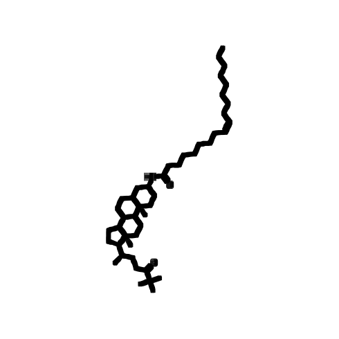 CCCCCCCC/C=C\CCCCCCCC(=O)N[C@H]1CC[C@@]2(C)C(CCC3C2CC[C@@]2(C)C3CC[C@@H]2[C@H](C)CCC(=O)C(C)(C)C)C1